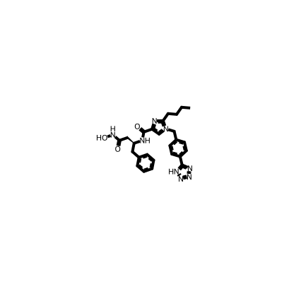 CCCCc1nc(C(=O)N[C@H](CC(=O)NO)Cc2ccccc2)cn1Cc1ccc(-c2nnn[nH]2)cc1